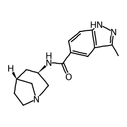 Cc1n[nH]c2ccc(C(=O)N[C@@H]3C[C@H]4CCN(C4)C3)cc12